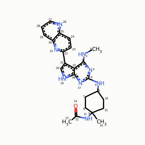 CNc1nc(NC2CCC(C)(NC(C)=O)CC2)nc2[nH]cc(-c3ccc4ncccc4n3)c12